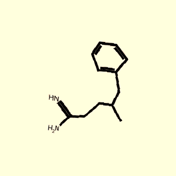 CC(CCC(=N)N)Cc1ccccc1